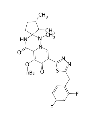 CCCCOc1c2n(cc(-c3nnc(Cc4ccc(F)cc4F)s3)c1=O)N(C)C1(CC[C@H](C)[C@@H]1C)NC2=O